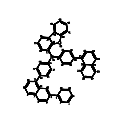 c1ccc(-c2ccc3cccc(-c4ccc(N(c5ccc(-c6cccc7ccccc67)cc5)c5cccc6c5oc5ccccc56)cc4)c3c2)cc1